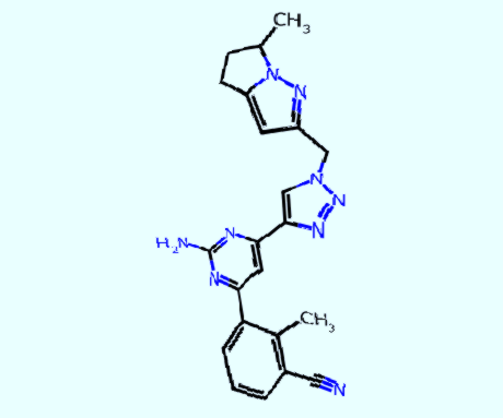 Cc1c(C#N)cccc1-c1cc(-c2cn(Cc3cc4n(n3)C(C)CC4)nn2)nc(N)n1